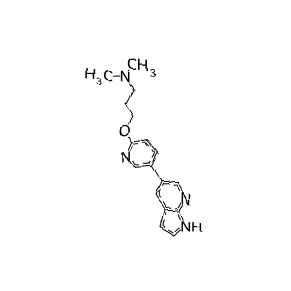 CN(C)CCCOc1ccc(-c2cnc3[nH]ccc3c2)cn1